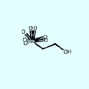 [O]=[Re](=[O])(=[O])(=[O])(=[O])(=[O])(=[O])[CH2]CO